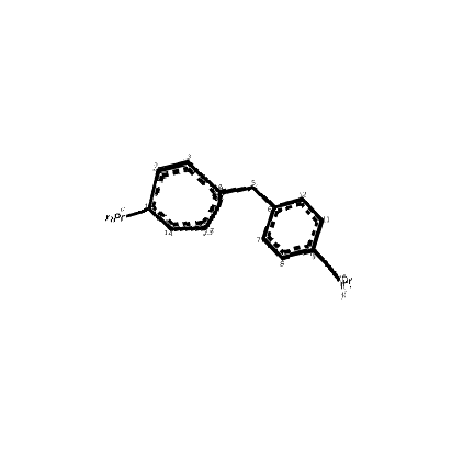 CCCc1ccc([C]c2ccc(C(C)C)cc2)cc1